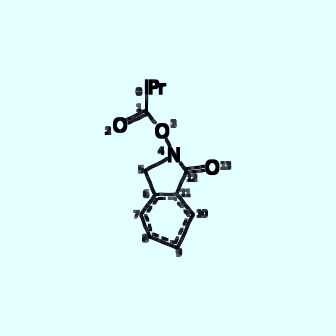 CC(C)C(=O)ON1Cc2ccccc2C1=O